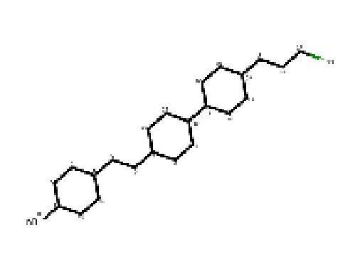 CCCCC1CCC(CCC2CCC(C3CCC(CCCF)CC3)CC2)CC1